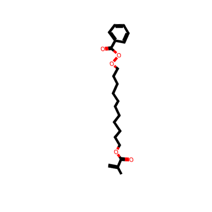 C=C(C)C(=O)OCCCCCCCCCCCOOC(=O)c1ccccc1